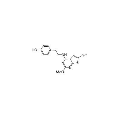 CCCc1cc2c(NCCc3ccc(O)cc3)nc(OC)nc2s1